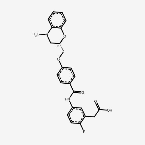 CN1C[C@@H](COc2ccc(C(=O)Nc3ccc(F)c(CC(=O)O)c3)cc2)Oc2ccccc21